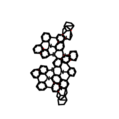 c1ccc(-c2cccc(-c3ccccc3)c2N2c3ccccc3B3c4cc5c(cc4N(c4ccccc4)c4cc(N6C7CC8CC6C6CCCC8C6C7)cc2c43)N(c2c(-c3ccccc3)cccc2-c2ccccc2)c2cc(N3C4CC6CC3C3CCCC6C3C4)cc3c2B5c2ccccc2N3c2c(-c3ccccc3)cccc2-c2ccccc2)cc1